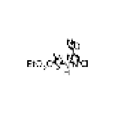 CCOC(=O)c1sc(Nc2nc(Cl)cc(-c3cnco3)n2)nc1C